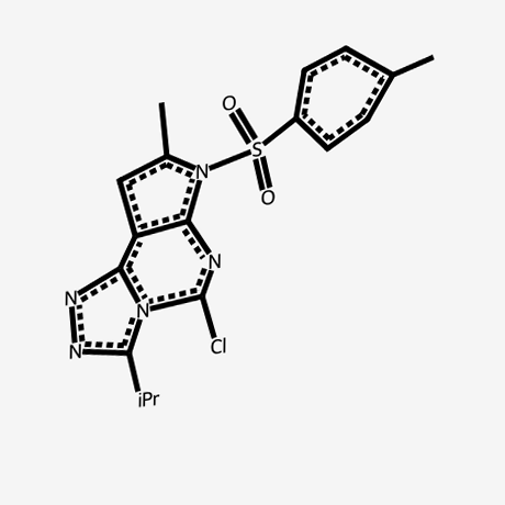 Cc1ccc(S(=O)(=O)n2c(C)cc3c2nc(Cl)n2c(C(C)C)nnc32)cc1